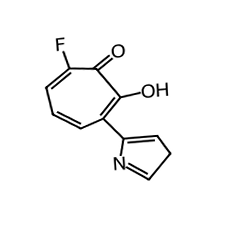 O=c1c(F)cccc(C2=CCC=N2)c1O